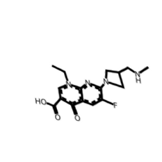 CCn1cc(C(=O)O)c(=O)c2cc(F)c(N3CC(CNC)C3)nc21